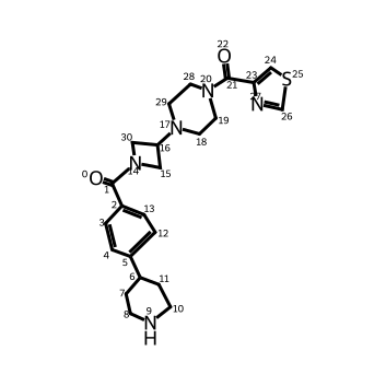 O=C(c1ccc(C2CCNCC2)cc1)N1CC(N2CCN(C(=O)c3cscn3)CC2)C1